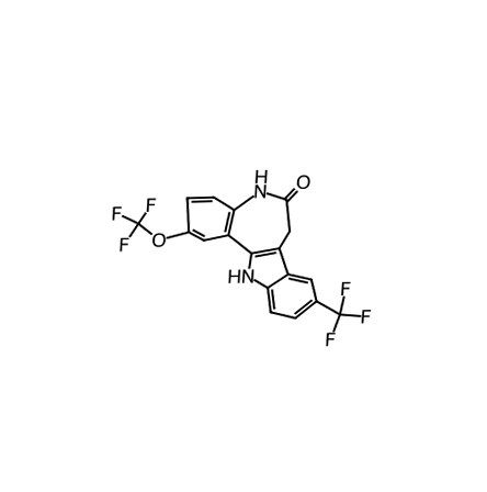 O=C1Cc2c([nH]c3ccc(C(F)(F)F)cc23)-c2cc(OC(F)(F)F)ccc2N1